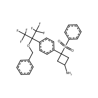 NC1CC(c2ccc(C(OCc3ccccc3)(C(F)(F)F)C(F)(F)F)cc2)(S(=O)(=O)c2ccccc2)C1